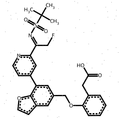 CC(C)(C)S(=O)(=O)N=C(CF)c1cc(-c2cc(COc3ccccc3CC(=O)O)cc3ccoc23)ccn1